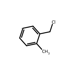 Cc1cc[c]cc1CCl